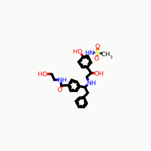 CS(=O)(=O)Nc1cc(C(O)CNC(Cc2ccccc2)c2ccc(C(=O)NCCO)cc2)ccc1O